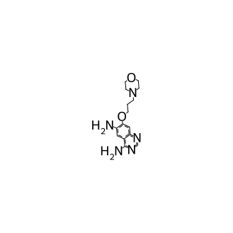 Nc1cc2c(N)ncnc2cc1OCCCN1CCOCC1